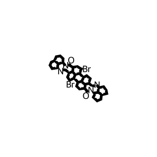 O=c1c2ccc3c4c(Br)cc5c6c(cc(Br)c(c7ccc(c2c73)c2nc3cccc7cccc(c73)n12)c46)c(=O)n1c2cccc3cccc(nc51)c32